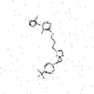 Cc1ncsc1-c1nnc(SCCCN2CCC3(CC3[C@@H]3C=CC(C(F)(F)F)=CC3)C2)n1C